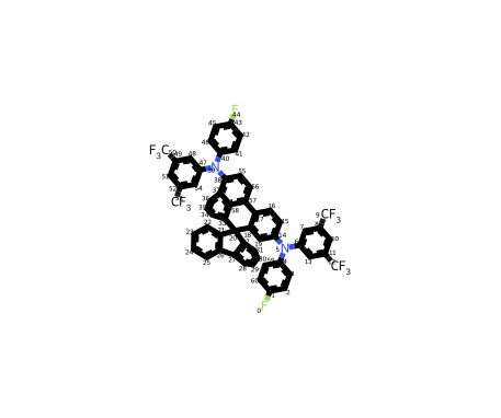 Fc1ccc(N(c2cc(C(F)(F)F)cc(C(F)(F)F)c2)c2ccc3c(c2)C2(c4ccccc4-c4ccccc42)c2cccc4c(N(c5ccc(F)cc5)c5cc(C(F)(F)F)cc(C(F)(F)F)c5)ccc-3c24)cc1